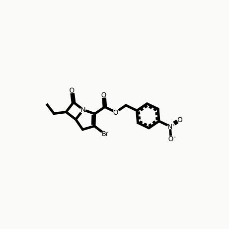 CCC1C(=O)N2C(C(=O)OCc3ccc([N+](=O)[O-])cc3)=C(Br)CC12